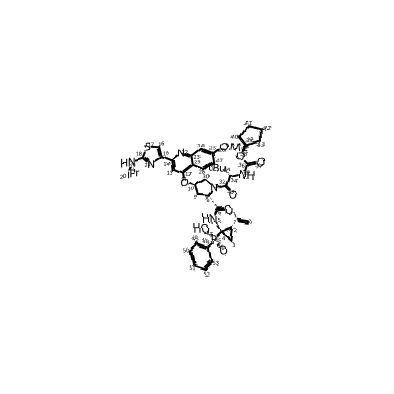 C=C[C@@H]1C[C@]1(NC(=O)[C@@H]1C[C@@H](Oc2cc(-c3csc(NC(C)C)n3)nc3cc(OC)ccc23)CN1C(=O)[C@@H](NC(=O)OC1CCCC1)C(C)(C)C)P(=O)(O)c1ccccc1